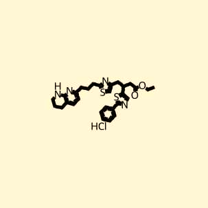 CCOC(=O)CC(Cc1csc(CCCc2ccc3c(n2)NCCC3)n1)c1cnc(-c2ccccc2)s1.Cl